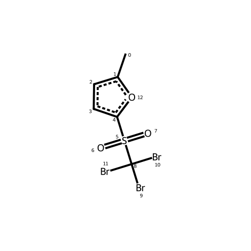 Cc1ccc(S(=O)(=O)C(Br)(Br)Br)o1